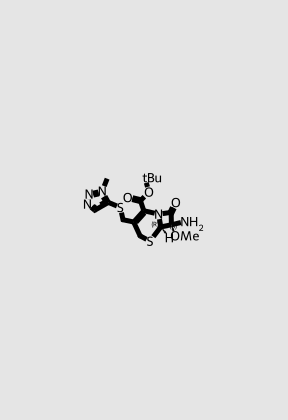 CO[C@@]1(N)C(=O)N2C(C(=O)OC(C)(C)C)=C(CSc3cnnn3C)CS[C@@H]21